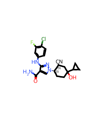 N#C[C@H]1CC(O)(C2CC2)CC[C@@H]1n1cc(C(N)=O)c(Nc2ccc(Cl)c(F)c2)n1